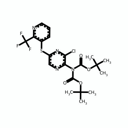 CC(C)(C)OC(=O)N(C(=O)OC(C)(C)C)c1ncc(Sc2cccnc2C(F)(F)F)nc1Cl